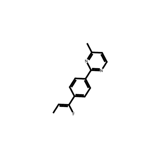 C/C=C(\F)c1ccc(-c2nccc(C)n2)cc1